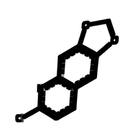 Clc1ccc2cc3c(cc2n1)OCO3